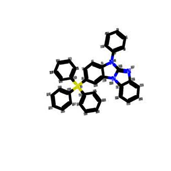 c1ccc(-n2c3ccc(S(c4ccccc4)(c4ccccc4)c4ccccc4)cc3n3c4ccccc4nc23)cc1